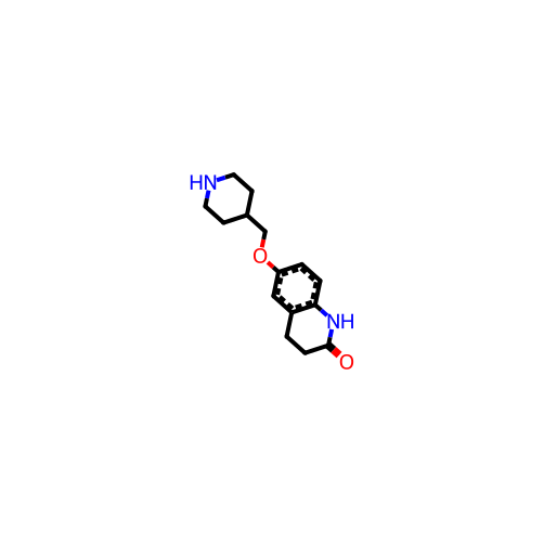 O=C1CCc2cc(OCC3CCNCC3)ccc2N1